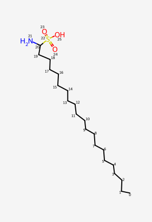 CCCCCCCCCCCCCCCCCCCCC(N)S(=O)(=O)O